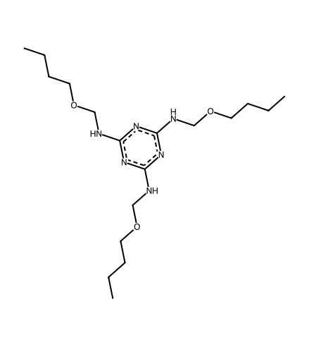 CCCCOCNc1nc(NCOCCCC)nc(NCOCCCC)n1